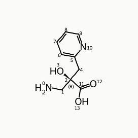 NC[C@](O)(Cc1ccccn1)C(=O)O